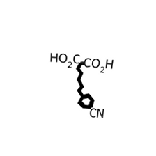 N#Cc1ccc(CCCCCC(C(=O)O)C(=O)O)cc1